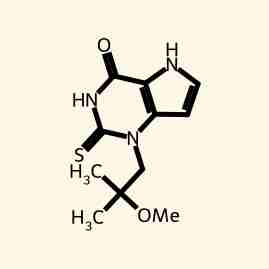 COC(C)(C)Cn1c(=S)[nH]c(=O)c2[nH]ccc21